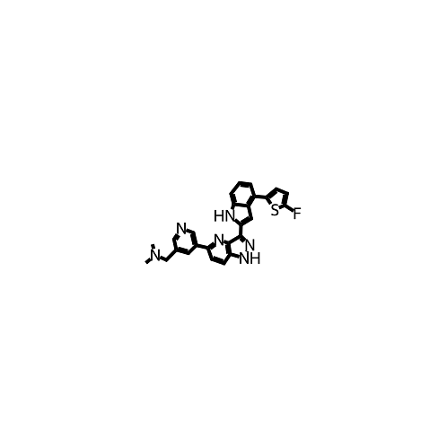 CN(C)Cc1cncc(-c2ccc3[nH]nc(-c4cc5c(-c6ccc(F)s6)cccc5[nH]4)c3n2)c1